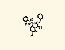 C=Cc1ccc(NS(=O)(=O)c2ccccc2F)c(C(=O)OCc2ccccc2)c1C